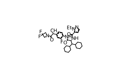 CCn1nccc1C(=O)N[C@H](C(=O)Nc1ccc([C@H](C)C(=O)N2CC(F)(F)C2)cc1F)C(C1CCCCC1)C1CCCCC1